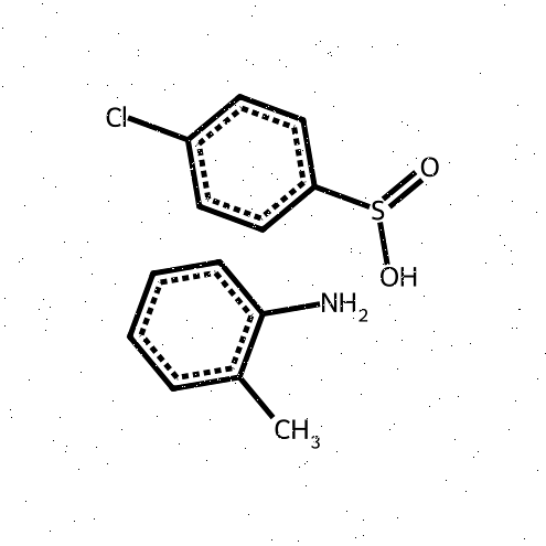 Cc1ccccc1N.O=S(O)c1ccc(Cl)cc1